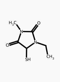 CCN1C(=O)N(C)C(=O)C1S